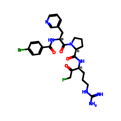 N=C(N)NCCC[C@H](NC(=O)[C@@H]1CCCN1C(=O)[C@H](Cc1cccnc1)NC(=O)c1ccc(Br)cc1)C(=O)CF